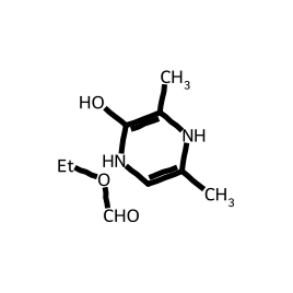 CC1=CNC(O)=C(C)N1.CCOC=O